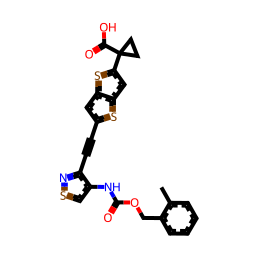 Cc1ccccc1COC(=O)Nc1csnc1C#Cc1cc2sc(C3(C(=O)O)CC3)cc2s1